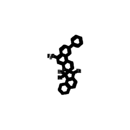 CCN1c2ccc3c(c2C(CC)(CC)C12C=Cc1c(cc(C(F)(F)F)c4ccc(-c5ccccc5)cc14)O2)CCCC3